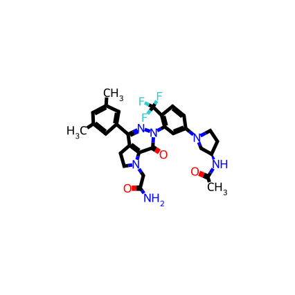 CC(=O)N[C@@H]1CCN(c2ccc(C(F)(F)F)c(-n3nc(-c4cc(C)cc(C)c4)c4c(c3=O)N(CC(N)=O)CC4)c2)C1